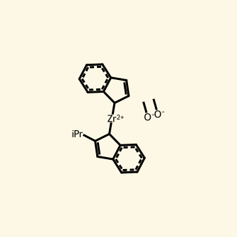 CC(C)C1=Cc2ccccc2[CH]1[Zr+2][CH]1C=Cc2ccccc21.C[O-].C[O-]